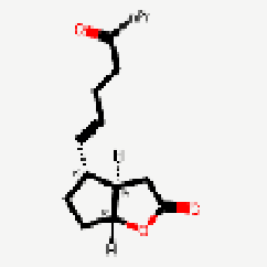 CCCC(=O)CCC=C[C@H]1CC[C@H]2OC(=O)C[C@H]12